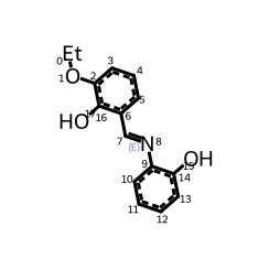 CCOc1cccc(/C=N/c2ccccc2O)c1O